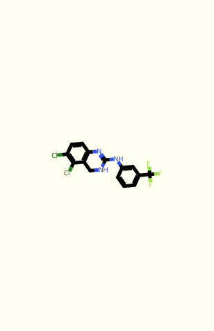 FC(F)(F)c1cccc(NC2=Nc3ccc(Cl)c(Cl)c3CN2)c1